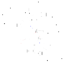 CCCCCCCCCCN1/C(=C\C2=C(O)C(=C\C3=[N+](CCCCCCCCCC)c4cc(C)c(C)cc4C3(C)C)/C2=O)C(C)(C)c2ccccc21